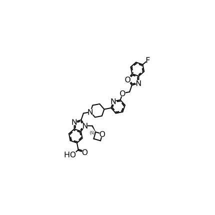 O=C(O)c1ccc2nc(CN3CCC(c4cccc(OCc5nc6cc(F)ccc6o5)n4)CC3)n(C[C@@H]3CCO3)c2c1